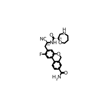 N#C[C@H](Cc1cc2c(cc1F)-c1ccc(C(N)=O)cc1CO2)NC(=O)[C@@H]1CNCCCO1